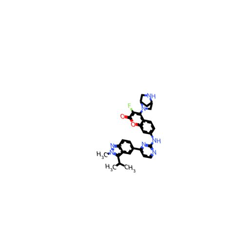 CC(C)c1c2cc(-c3ccnc(Nc4ccc5c(N6CC7CC6CN7)c(F)c(=O)oc5c4)n3)ccc2nn1C